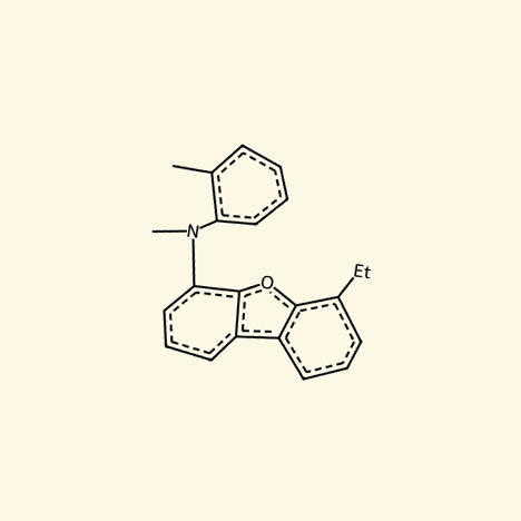 CCc1cccc2c1oc1c(N(C)c3ccccc3C)cccc12